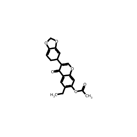 CCc1cc2c(=O)c(C3C=C4OCOC4=CC3)coc2cc1OC(C)=O